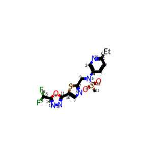 CCc1ccc(N(Cc2ncc(-c3nnc(C(F)F)o3)s2)S(C)(=O)=O)cn1